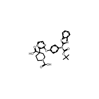 CC(C)(C)OC(=O)N(c1ccc(Oc2nccnc2C2(C(=O)O)CCN(C(=O)O)CC2)cc1)c1nc2ccccc2s1